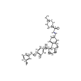 CCN1CCN(C(=O)/C=C/c2ccc3c(c2)sc2ncnc(Nc4ccc(OCc5cccc(F)c5)c(C)c4)c23)CC1